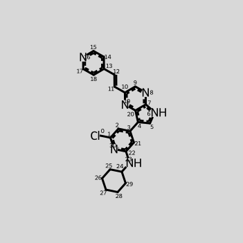 Clc1cc(-c2c[nH]c3ncc(/C=C/c4ccncc4)nc23)cc(NC2CCCCC2)n1